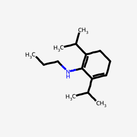 CCCNC1=C(C(C)C)CCC=C1C(C)C